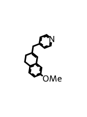 COc1ccc2c(c1)C=C(Cc1ccncc1)CC2